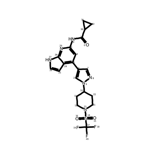 O=C(Nc1cc(-c2cnn(C3CCN(S(=O)(=O)C(F)(F)F)CC3)c2)c2cc[nH]c2n1)C1CC1